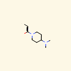 CC(=O)/C=C(\O)N1CCC(N(C)C)CC1